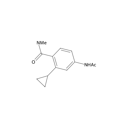 CNC(=O)c1ccc(NC(C)=O)cc1C1CC1